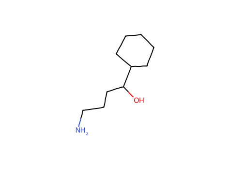 NCCC[C](O)C1CCCCC1